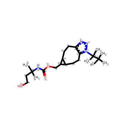 CC(C)C(C)(C)C(C)(C)n1nnc2c1CCC1C(CC2)C1COC(=O)NC(C)(C)CCO